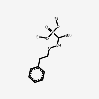 CCOP(=O)(OCC)C(NOCCc1ccccc1)C(C)(C)C